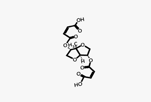 C[C@]12OC[C@H](OC(=O)/C=C\C(=O)O)[C@H]1OC[C@@H]2OC(=O)/C=C\C(=O)O